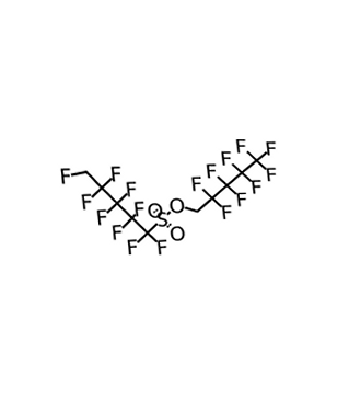 O=S(=O)(OCC(F)(F)C(F)(F)C(F)(F)C(F)(F)F)C(F)(F)C(F)(F)C(F)(F)C(F)(F)CF